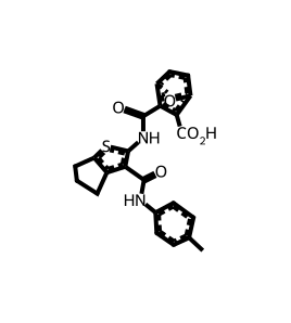 Cc1ccc(NC(=O)c2c(NC(=O)c3c(C(=O)O)c4ccc3o4)sc3c2CCC3)cc1